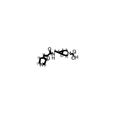 O=C(NCC1C2CN(C(=O)O)CC12)c1cc2ccncc2o1